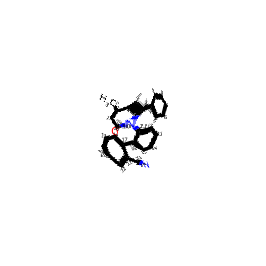 Cc1cc(-c2ccccc2)n(-c2ccccc2-c2ccccc2C#N)c(=O)c1